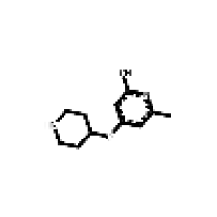 Cc1cc(OC2CCNCC2)cc(C#N)n1